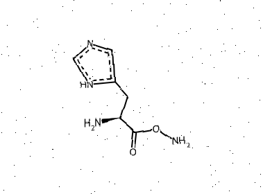 NOC(=O)[C@@H](N)Cc1cnc[nH]1